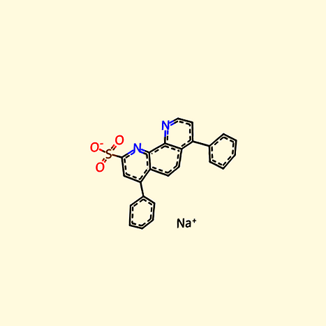 O=S(=O)([O-])c1cc(-c2ccccc2)c2ccc3c(-c4ccccc4)ccnc3c2n1.[Na+]